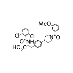 COc1cccc(C(=O)N2CCC(c3ccc(C[C@H](NC(=O)c4c(Cl)cccc4Cl)C(=O)O)cc3)CC2)c1